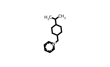 CC(C)C1CCC(C[n+]2ccccc2)CC1